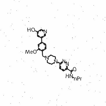 CCCNC(=O)c1ccc(N2CCN(Cc3ccc(-c4cncc(O)c4)cc3OC)CC2)nn1